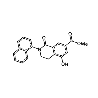 COC(=O)c1cc(O)c2c(c1)C(=O)N(c1cccc3ccccc13)CC2